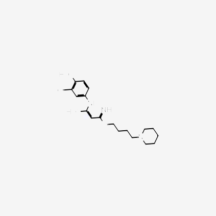 C/C(=C/C(=N)OCCCCN1CCCCC1)Nc1ccc(C)c(Cl)c1